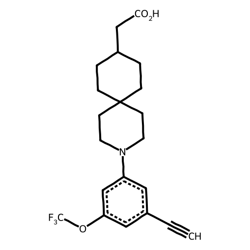 C#Cc1cc(OC(F)(F)F)cc(N2CCC3(CCC(CC(=O)O)CC3)CC2)c1